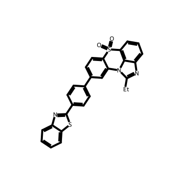 CCc1nc2cccc3c2n1-c1cc(-c2ccc(-c4nc5ccccc5s4)cc2)ccc1S3(=O)=O